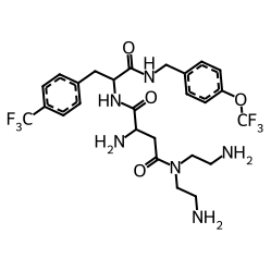 NCCN(CCN)C(=O)CC(N)C(=O)NC(Cc1ccc(C(F)(F)F)cc1)C(=O)NCc1ccc(OC(F)(F)F)cc1